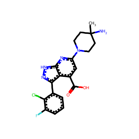 CC1(N)CCN(c2cc(C(=O)O)c3c(-c4cccc(F)c4Cl)n[nH]c3n2)CC1